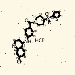 Cl.O=C(c1ccc(Nc2ccnc3cc(C(F)(F)F)ccc23)cc1)N1CCC(S(=O)(=O)c2cccs2)CC1